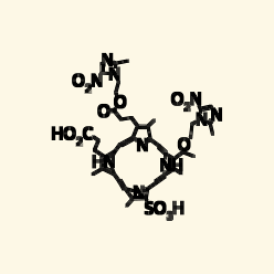 CC1=C(CCC(=O)OCCn2c([N+](=O)[O-])cnc2C)c2cc3[nH]c(cc4nc(cc5[nH]c(cc1n2)c(C(C)OCCn1c([N+](=O)[O-])cnc1C)c5C)C(S(=O)(=O)O)=C4C)c(C)c3CCC(=O)O